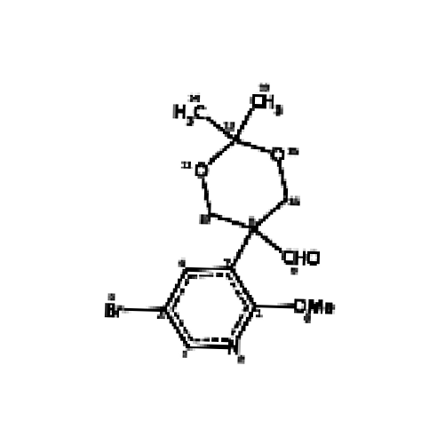 COc1ncc(Br)cc1C1(C=O)COC(C)(C)OC1